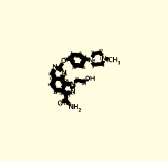 CN1CCN(c2ccc(Oc3ncc4ccc5c(C(N)=O)nn(CCO)c5c4n3)cc2)CC1